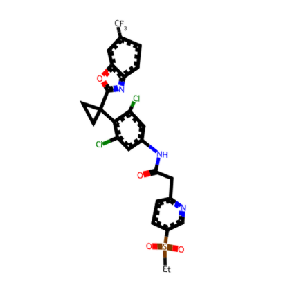 CCS(=O)(=O)c1ccc(CC(=O)Nc2cc(Cl)c(C3(c4nc5ccc(C(F)(F)F)cc5o4)CC3)c(Cl)c2)nc1